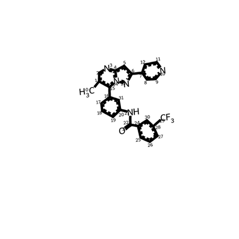 Cc1cnc2cc(-c3ccncc3)nn2c1-c1cccc(NC(=O)c2cccc(C(F)(F)F)c2)c1